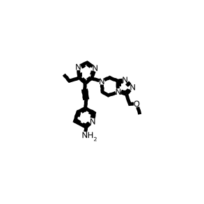 CCc1ncnc(N2CCn3c(COC)nnc3C2)c1C#Cc1ccc(N)nc1